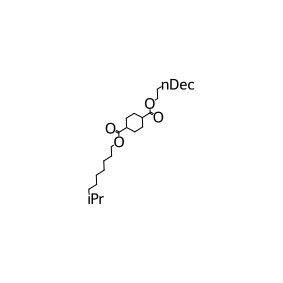 CCCCCCCCCCCCOC(=O)C1CCC(C(=O)OCCCCCCCC(C)C)CC1